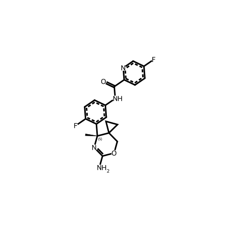 C[C@]1(c2cc(NC(=O)c3ccc(F)cn3)ccc2F)N=C(N)OCC12CC2